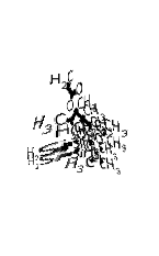 C=CC(=O)OC(C)(C(C)C)C(C)(C)C(C)[Si](O[SiH]1[SiH2][SiH2][SiH2]1)(O[Si](C)(C)C)O[Si](C)(C)C